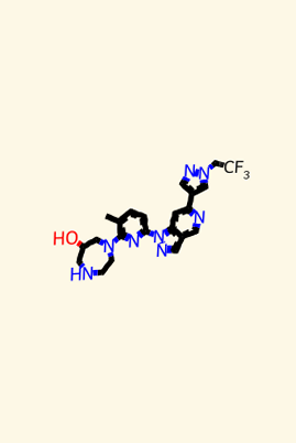 Cc1ccc(-n2ncc3cnc(-c4cnn(CC(F)(F)F)c4)cc32)nc1N1CCNCC(O)C1